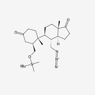 CC(C)(C)[Si](C)(C)OC[C@H]1CC(=O)CC[C@]1(C)[C@H]1CC[C@]2(C)C(=O)CC[C@H]2[C@@H]1CN=[N+]=[N-]